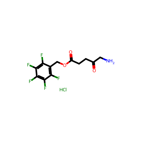 Cl.NCC(=O)CCC(=O)OCc1c(F)c(F)c(F)c(F)c1F